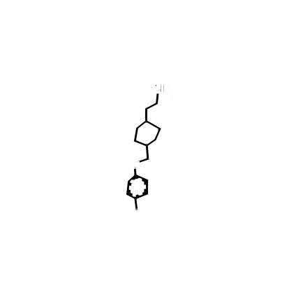 NCCC1CCC(COc2ccc(F)cc2)CC1